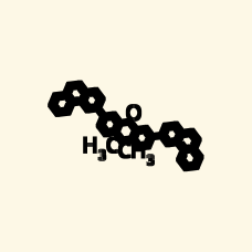 CC1(C)c2ccc(-c3ccc4ccc5ccccc5c4c3)cc2C(=O)c2cc(-c3ccc4ccc5ccccc5c4c3)ccc21